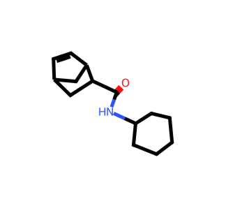 O=C(NC1CCCCC1)C1CC2C=CC1C2